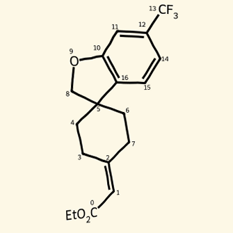 CCOC(=O)C=C1CCC2(CC1)COc1cc(C(F)(F)F)ccc12